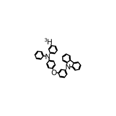 [3H]c1cccc(N(c2ccccc2)c2ccc(Oc3cccc(-n4c5ccccc5c5ccccc54)c3)cc2)c1